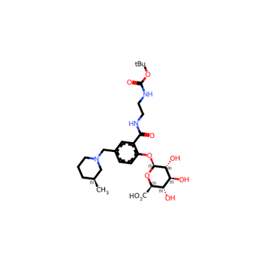 C[C@H]1CCCN(Cc2ccc(O[C@@H]3O[C@H](C(=O)O)[C@@H](O)[C@H](O)[C@H]3O)c(C(=O)NCCNC(=O)OC(C)(C)C)c2)C1